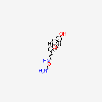 C[C@]12CCC(O)CC1CC[C@@H]1[C@H]2CC[C@]2(C)C(C=CCNOCCN)CC[C@@]12O